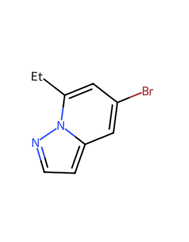 CCc1cc(Br)cc2ccnn12